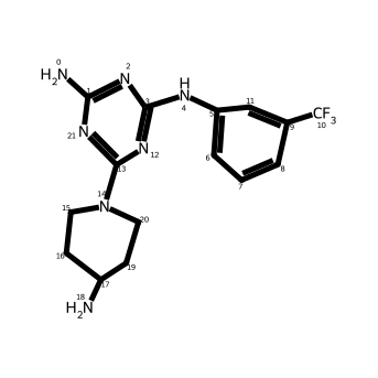 Nc1nc(Nc2cccc(C(F)(F)F)c2)nc(N2CCC(N)CC2)n1